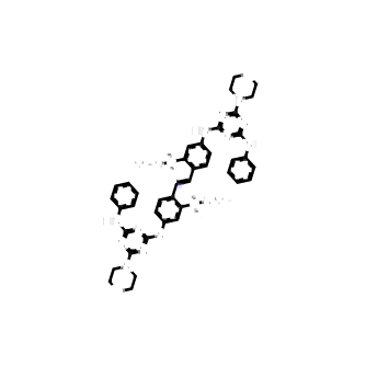 CNS(=O)(=O)c1cc(Nc2nc(Nc3ccccc3)nc(N3CCOCC3)n2)ccc1/C=C/c1ccc(Nc2nc(Nc3ccccc3)nc(N3CCOCC3)n2)cc1S(=O)(=O)NC